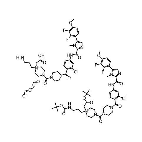 COc1ccc(-c2cnc(C(=O)Nc3ccc(C(=O)N4CCN(C(=O)N5CC[N+](CCCN)(CC(=O)O)CC5)CC4)c(Cl)c3)n2C)c(F)c1F.COc1ccc(-c2cnc(C(=O)Nc3ccc(C(=O)N4CCN(C(=O)N5CC[N+](CCCNC(=O)OC(C)(C)C)(CC(=O)OC(C)(C)C)CC5)CC4)c(Cl)c3)n2C)c(F)c1F.O=C[O-].O=C[O-]